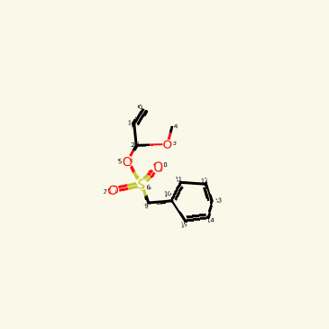 C=CC(OC)OS(=O)(=O)Cc1ccccc1